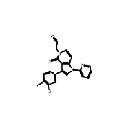 O=CCn1ccc2c(c(-c3ccc(F)c(Cl)c3)cn2-c2ccccn2)c1=O